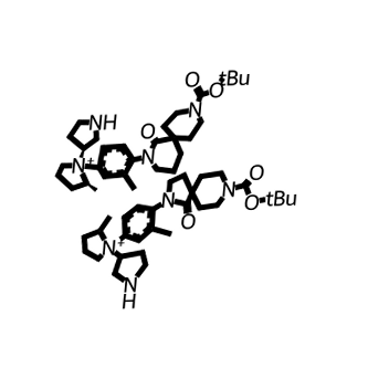 Cc1cc([N+]2(C3CCNC3)CCCC2C)ccc1N1CCC2(CCN(C(=O)OC(C)(C)C)CC2)C1=O.Cc1cc([N+]2([C@H]3CCNC3)CCC[C@@H]2C)ccc1N1CCCC2(CCN(C(=O)OC(C)(C)C)CC2)C1=O